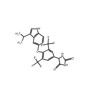 CC(C)c1c[nH]c2ccc(Oc3c(C(F)(F)F)cc(C4NC(=O)NC4=O)cc3C(F)(F)F)cc12